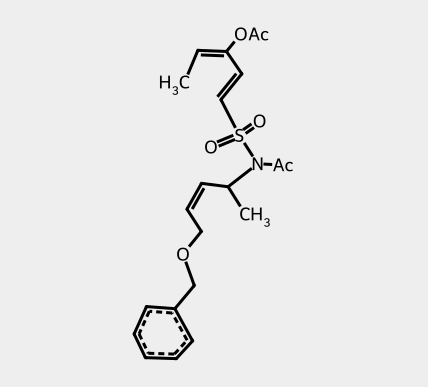 CC=C(C=CS(=O)(=O)N(C(C)=O)C(C)/C=C\COCc1ccccc1)OC(C)=O